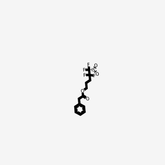 O=C(Cc1ccccc1)OCCCC(F)(F)C(F)(F)[SH](=O)=O